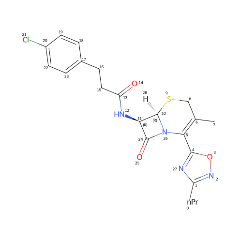 CCCc1noc(C2=C(C)CS[C@@H]3[C@H](NC(=O)CCc4ccc(Cl)cc4)C(=O)N23)n1